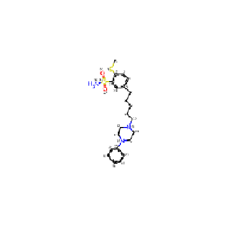 CSc1ccc(CCCCCN2CCN(c3ccccc3)CC2)cc1S(N)(=O)=O